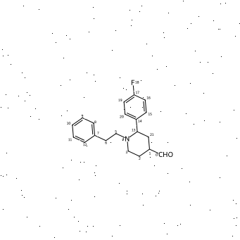 O=CC1CCN(CCc2ccccc2)C(c2ccc(F)cc2)C1